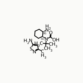 CC(C)(C)N(C(=O)O)[C@H]1CCCC[C@H]1N.Cc1cc(N)sn1